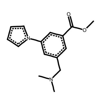 COC(=O)c1cc(CN(C)C)cc(-n2cccc2)c1